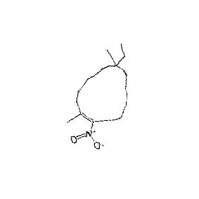 CCC1(C)CCCCC/C([N+](=O)[O-])=C(/C)CCCC1